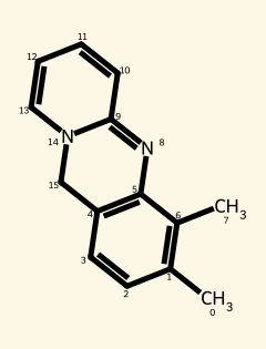 Cc1ccc2c(c1C)N=C1C=CC=CN1C2